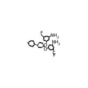 Nc1cc(CF)cc(OC2(Oc3cc(N)cc(CF)c3)C=CC(c3ccccc3)C=C2)c1